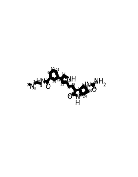 CN(C)CCNC(=O)c1cccc(-c2c[nH]c(CC=C3C(=O)Nc4ccc(NC(N)=O)cc43)c2)c1